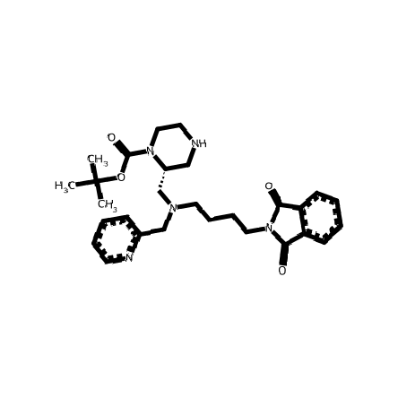 CC(C)(C)OC(=O)N1CCNC[C@@H]1CN(CCCCN1C(=O)c2ccccc2C1=O)Cc1ccccn1